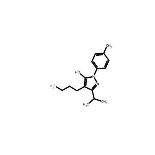 CCCCc1c(C(C)C)nn(-c2ccc(C)cc2)c1O